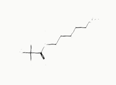 CCCCCCCCCCCCCCNC(=O)C(N)(CC)C(=O)O.Cl